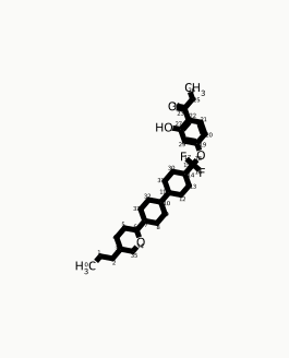 CCCC1CCC(C2CCC(C3CCC(C(F)(F)Oc4ccc(C(=O)CC)c(O)c4)CC3)CC2)OC1